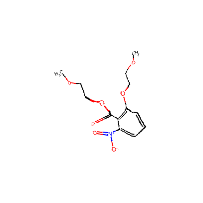 COCCOC(=O)c1c(OCCOC)cccc1[N+](=O)[O-]